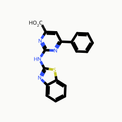 O=C(O)c1cc(-c2ccccc2)nc(Nc2nc3ccccc3s2)n1